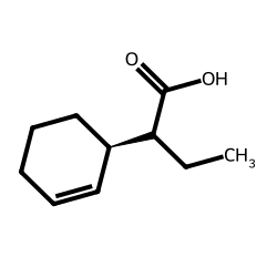 CCC(C(=O)O)[C@H]1C=CCCC1